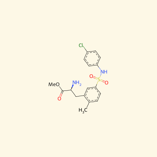 COC(=O)[C@@H](N)Cc1cc(S(=O)(=O)Nc2ccc(Cl)cc2)ccc1C